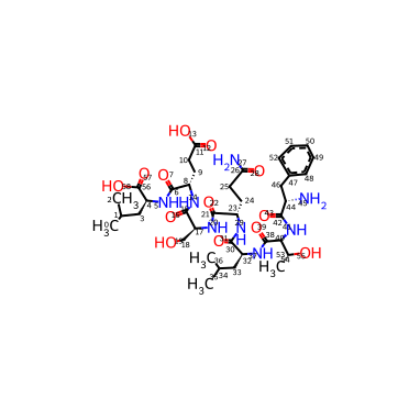 CC(C)C[C@H](NC(=O)[C@H](CCC(=O)O)NC(=O)[C@H](CO)NC(=O)[C@H](CCC(N)=O)NC(=O)[C@H](CC(C)C)NC(=O)[C@@H](NC(=O)[C@@H](N)Cc1ccccc1)[C@@H](C)O)C(=O)O